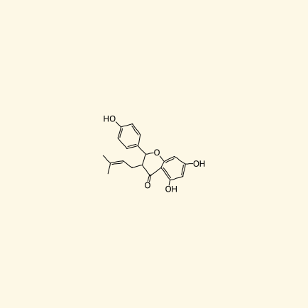 CC(C)=CCC1C(=O)c2c(O)cc(O)cc2OC1c1ccc(O)cc1